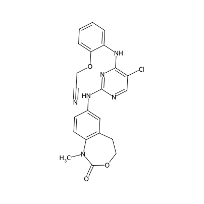 CN1C(=O)OCCc2cc(Nc3ncc(Cl)c(Nc4ccccc4OCC#N)n3)ccc21